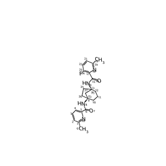 Cc1cccc(C(=O)N[C@@]23CCC[C@@](NC(=O)c4nc(C)ccc4F)(CC2)C3)n1